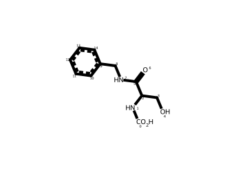 O=C(O)NC(CO)C(=O)NCc1ccccc1